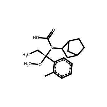 CC[C@](OC)(c1ccccc1I)N(C(=O)O)C1CC2CCC1C2